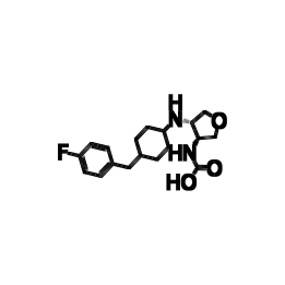 O=C(O)N[C@@H]1COC[C@H]1NC1CCC(Cc2ccc(F)cc2)CC1